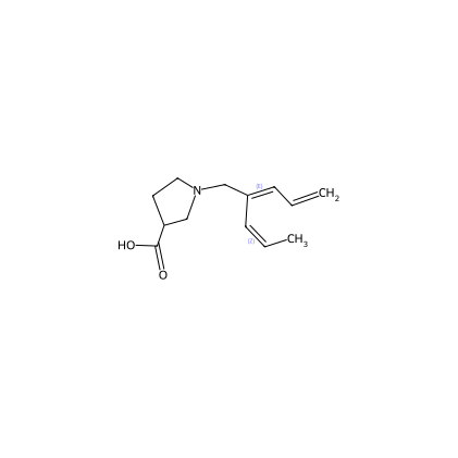 C=C/C=C(\C=C/C)CN1CCC(C(=O)O)C1